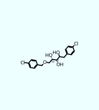 OC(Cc1ccc(Cl)cc1)[C@H](O)[C@@H](O)COCc1ccc(Cl)cc1